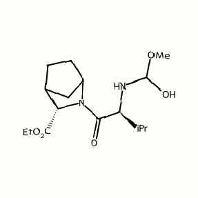 CCOC(=O)[C@@H]1C2CCC(C2)N1C(=O)[C@@H](NC(O)OC)C(C)C